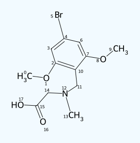 COc1cc(Br)cc(OC)c1CN(C)CC(=O)O